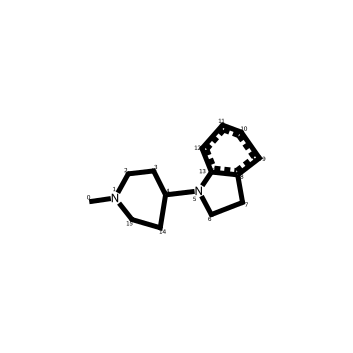 CN1CCC(N2CCc3ccccc32)CC1